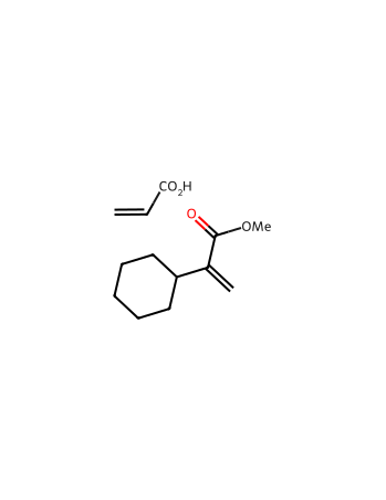 C=C(C(=O)OC)C1CCCCC1.C=CC(=O)O